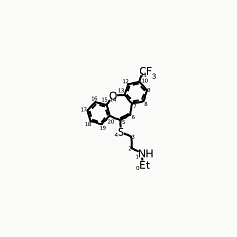 CCNCCSC1=Cc2ccc(C(F)(F)F)cc2Oc2ccccc21